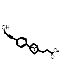 COC(=O)CCC12CCC(c3ccc(C#CCO)cc3)(CC1)CO2